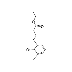 CCOC(=O)CCCC1C=CC=C(C)C1=O